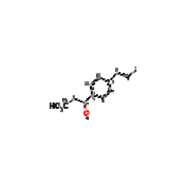 C/C=C/c1ccc(C(=O)CC(=O)O)cc1